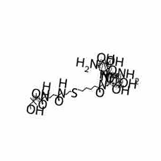 CC(C)(CO)[C@@H](O)C(=O)NCCC(=O)NCCSCCCCCC(=O)NC[C@H]1O[C@H](O[C@H]2[C@H](O)[C@@H](O)[C@H](N)C[C@@H]2N)[C@H](N)[C@@H](O)[C@@H]1O